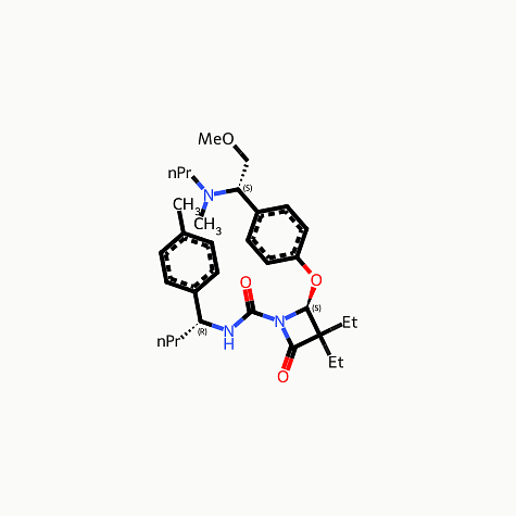 CCC[C@@H](NC(=O)N1C(=O)C(CC)(CC)[C@@H]1Oc1ccc([C@@H](COC)N(C)CCC)cc1)c1ccc(C)cc1